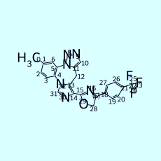 Cc1ccc2c(c1)-n1nncc1Cc1c(C3=N[C@@H](c4ccc(C(F)(F)F)cc4)CO3)ncn1-2